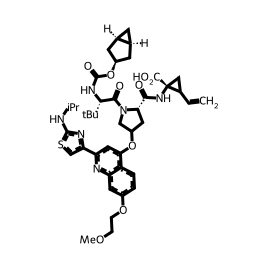 C=CC1C[C@]1(NC(=O)[C@@H]1CC(Oc2cc(-c3csc(NC(C)C)n3)nc3cc(OCCOC)ccc23)CN1C(=O)[C@@H](NC(=O)O[C@@H]1C[C@@H]2C[C@@H]2C1)C(C)(C)C)C(=O)O